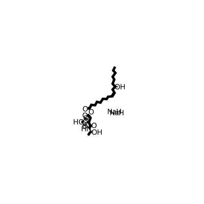 CCCCCC[C@@H](O)C/C=C\CCCCCCCC(=O)OC(=O)CC(C(=O)NC(C)O)S(=O)(=O)O.[NaH].[NaH]